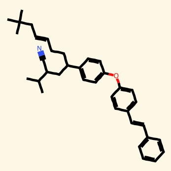 CC(C)C(C#N)CC(CC/C=C/CC(C)(C)C)c1ccc(Oc2ccc(/C=C/c3ccccc3)cc2)cc1